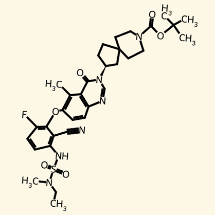 CCN(C)S(=O)(=O)Nc1ccc(F)c(Oc2ccc3ncn([C@H]4CCC5(CCN(C(=O)OC(C)(C)C)CC5)C4)c(=O)c3c2C)c1C#N